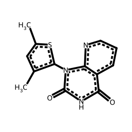 Cc1cc(C)c(-n2c(=O)[nH]c(=O)c3cccnc32)s1